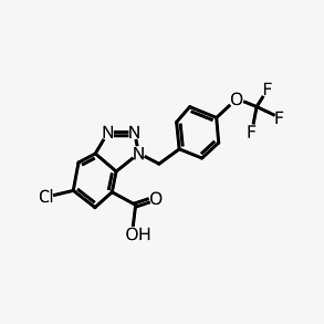 O=C(O)c1cc(Cl)cc2nnn(Cc3ccc(OC(F)(F)F)cc3)c12